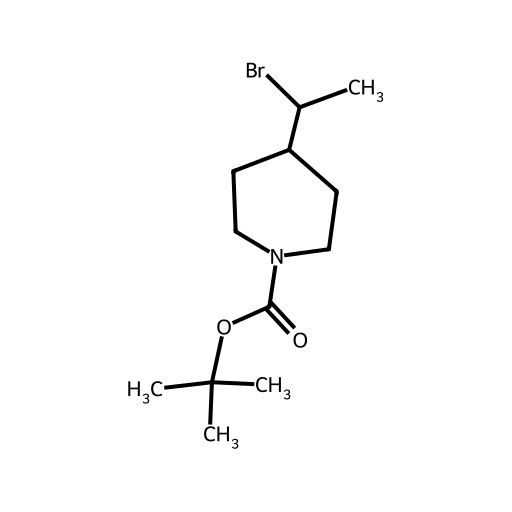 CC(Br)C1CCN(C(=O)OC(C)(C)C)CC1